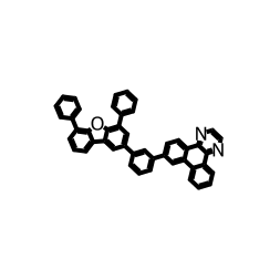 c1ccc(-c2cccc3c2oc2c(-c4ccccc4)cc(-c4cccc(-c5ccc6c(c5)c5ccccc5c5nccnc65)c4)cc23)cc1